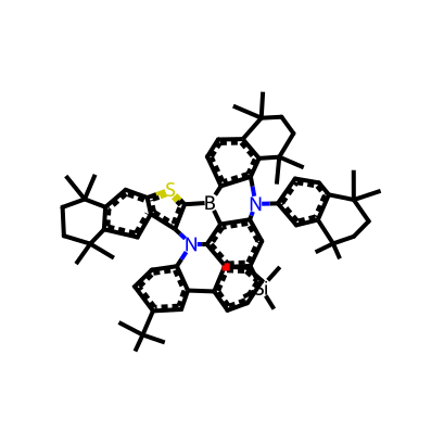 CC(C)(C)c1ccc(N2c3cc([Si](C)(C)C)cc4c3B(c3ccc5c(c3N4c3ccc4c(c3)C(C)(C)CCC4(C)C)C(C)(C)CCC5(C)C)c3sc4cc5c(cc4c32)C(C)(C)CCC5(C)C)c(-c2ccccc2)c1